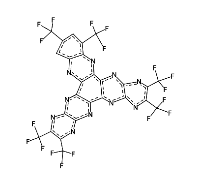 FC(F)(F)c1cc(C(F)(F)F)c2nc3c(nc2c1)c1nc2nc(C(F)(F)F)c(C(F)(F)F)nc2nc1c1nc2nc(C(F)(F)F)c(C(F)(F)F)nc2nc13